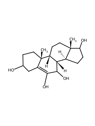 C[C@]12CCC(O)CC1=C(O)C(O)[C@@H]1[C@H]2CC[C@]2(C)C(O)CC[C@@H]12